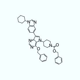 O=C(OCc1ccccc1)N1CCC(n2cc(-c3ccc4c(c3)ncn4C3CCCCC3)c3ncnc(OCc4ccccc4)c32)CC1